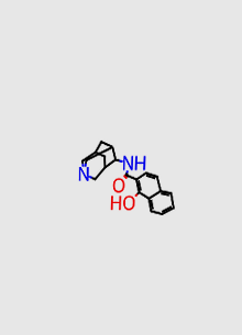 O=C(NC1C2CC3CC1CN(C3)C2)c1ccc2ccccc2c1O